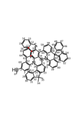 CBc1ccc(N2c3cc4c(sc5ccccc54)c4c3B(c3ccc5c(c32)-c2ccccc2C5(C)C)N2c3ccccc3C(c3ccccc3)(c3ccccc3)c3cccc-4c32)c(-c2ccccc2)c1